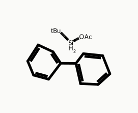 CC(=O)O[SiH2]C(C)(C)C.c1ccc(-c2ccccc2)cc1